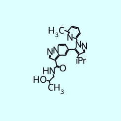 Cc1cccc(-n2ncc(C(C)C)c2-c2ccn3ncc(C(=O)NCC(C)O)c3c2)n1